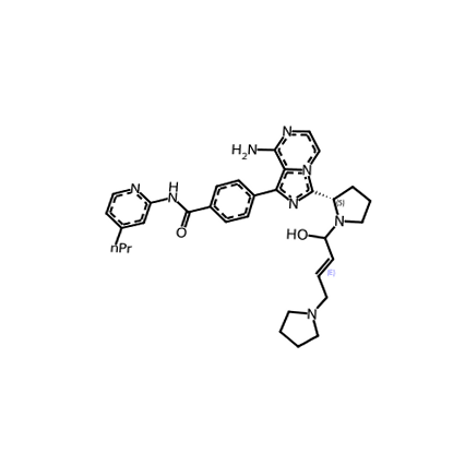 CCCc1ccnc(NC(=O)c2ccc(-c3nc([C@@H]4CCCN4C(O)/C=C/CN4CCCC4)n4ccnc(N)c34)cc2)c1